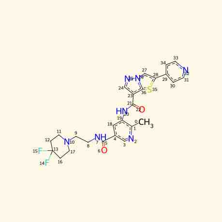 Cc1ncc(C(=O)NCCN2CCC(F)(F)CC2)cc1NC(=O)c1cnn2cc(-c3ccncc3)sc12